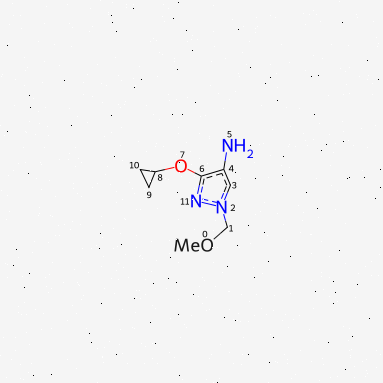 COCn1cc(N)c(OC2CC2)n1